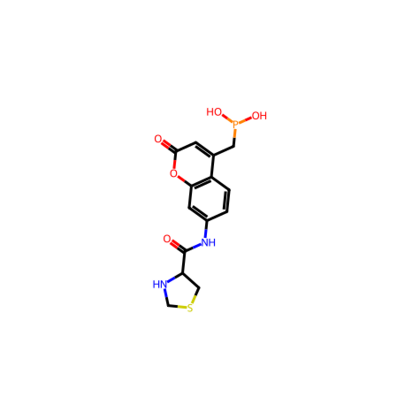 O=C(Nc1ccc2c(CP(O)O)cc(=O)oc2c1)C1CSCN1